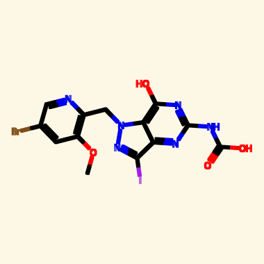 COc1cc(Br)cnc1Cn1nc(I)c2nc(NC(=O)O)nc(O)c21